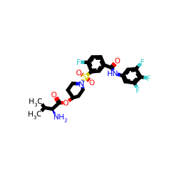 CC(C)[C@H](N)C(=O)OC1CCN(S(=O)(=O)c2cc(C(=O)Nc3cc(F)c(F)c(F)c3)ccc2F)CC1